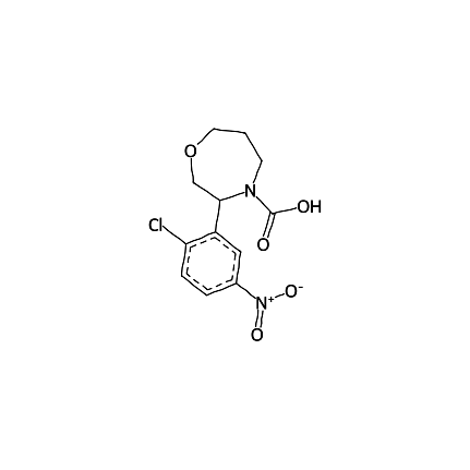 O=C(O)N1CCCOCC1c1cc([N+](=O)[O-])ccc1Cl